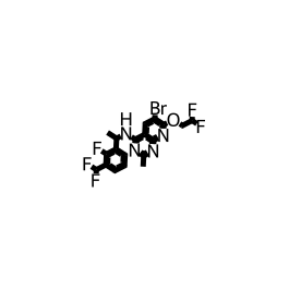 Cc1nc(NC(C)c2cccc(C(F)F)c2F)c2cc(Br)c(OCC(F)F)nc2n1